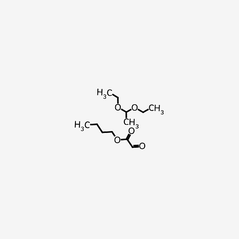 CCCCOC(=O)C=O.CCOC(C)OCC